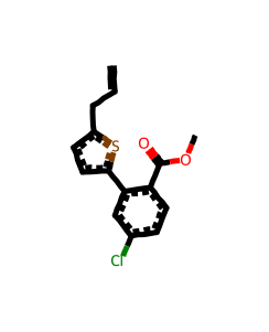 C=CCc1ccc(-c2cc(Cl)ccc2C(=O)OC)s1